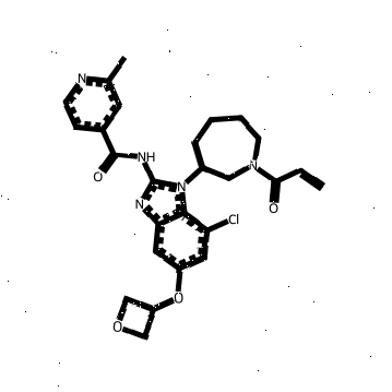 C=CC(=O)N1CCCCC(n2c(NC(=O)c3ccnc(C)c3)nc3cc(OC4COC4)cc(Cl)c32)C1